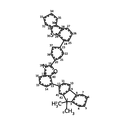 CC1(C)c2ccccc2-c2ccc(-c3cccc4nc(-c5ccc(-c6cccc7c6sc6ccccc67)cc5)oc34)cc21